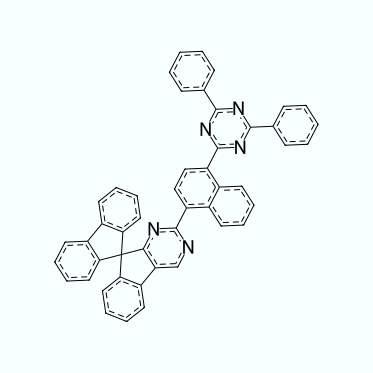 c1ccc(-c2nc(-c3ccccc3)nc(-c3ccc(-c4ncc5c(n4)C4(c6ccccc6-c6ccccc64)c4ccccc4-5)c4ccccc34)n2)cc1